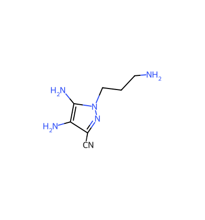 N#Cc1nn(CCCN)c(N)c1N